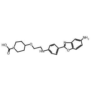 Nc1ccc2oc(-c3ccc(NCCOC4CCN(C(=O)O)CC4)cc3)nc2c1